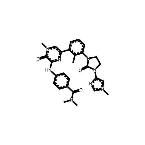 Cc1c(-c2cn(C)c(=O)c(Nc3ccc(C(=O)N(C)C)cc3)n2)cccc1N1CCN(c2cn(C)cn2)C1=O